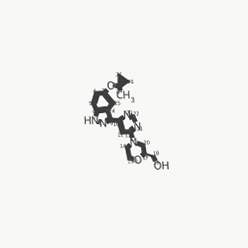 CC1(Oc2ccc3[nH]nc(-c4cc(N5CCO[C@H](CO)C5)ncn4)c3c2)CC1